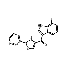 Cc1cccc2c(C(=O)C3=CSC(c4cccnc4)N3)c[nH]c12